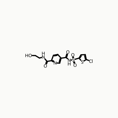 O=C(NS(=O)(=O)c1ccc(Cl)s1)c1ccc(C(=O)NCCO)nc1